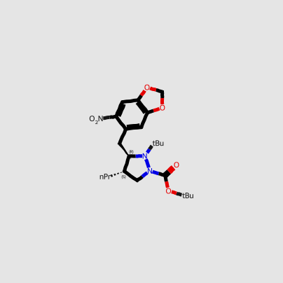 CCC[C@H]1CN(C(=O)OC(C)(C)C)N(C(C)(C)C)[C@@H]1Cc1cc2c(cc1[N+](=O)[O-])OCO2